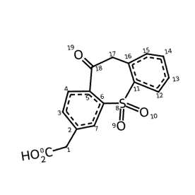 O=C(O)Cc1ccc2c(c1)S(=O)(=O)c1ccccc1CC2=O